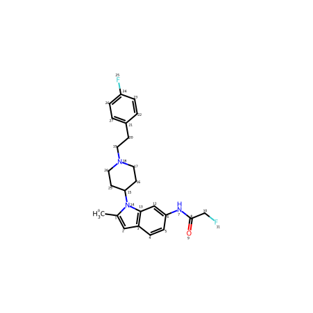 Cc1cc2ccc(NC(=O)CF)cc2n1C1CCN(CCc2ccc(F)cc2)CC1